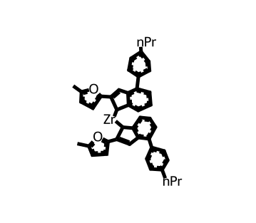 CCCc1ccc(-c2cccc3c2C=C(c2ccc(C)o2)[CH]3[Zr][CH]2C(c3ccc(C)o3)=Cc3c(-c4ccc(CCC)cc4)cccc32)cc1